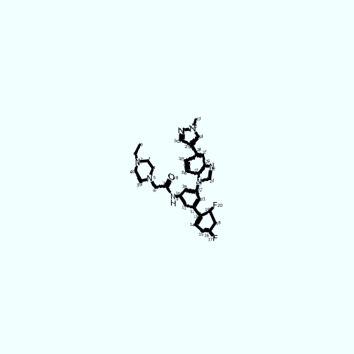 CCN1CCN(CC(=O)Nc2cc(C3=CC=C(F)CC3F)cc(-n3cnc4cc(-c5cnn(C)c5)ccc43)c2)CC1